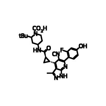 Cc1n[nH]c2nc(-c3ccc(O)cc3F)c(C#N)c([C@@H]3C[C@H]3C(=O)NC3CCN(C(=O)O)C(C(C)(C)C)C3)c12